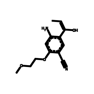 C/C=C(/O)c1cc(C#N)c(OCCOC)cc1N